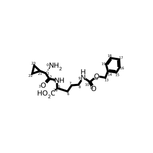 N[C@H](C(=O)N[C@@H](CCCNC(=O)OCc1ccccc1)C(=O)O)C1CC1